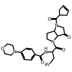 CC(C)CC(NC(=O)c1ccc(N2CCOCC2)cc1)C(=O)N1CCC2C1C(=O)CN2C(=O)C1CC=CC1